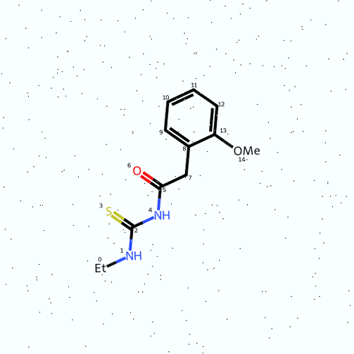 CCNC(=S)NC(=O)Cc1ccccc1OC